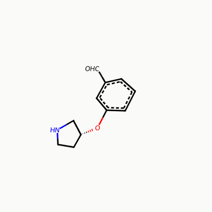 O=Cc1cccc(O[C@@H]2CCNC2)c1